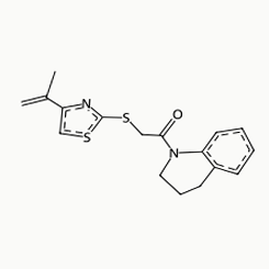 C=C(C)c1csc(SCC(=O)N2CCCc3ccccc32)n1